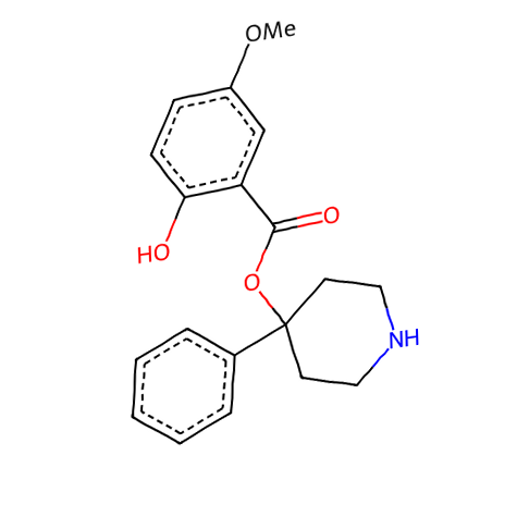 COc1ccc(O)c(C(=O)OC2(c3ccccc3)CCNCC2)c1